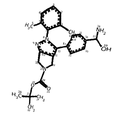 Cc1cccc(C)c1-n1nc2c(c1-c1ccc(C(N)O)cc1)CN(C(=O)OC(C)(C)C)C2